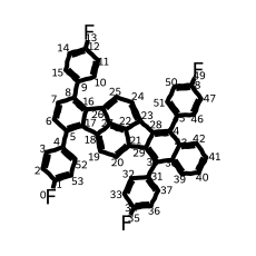 Fc1ccc(-c2ccc(-c3ccc(F)cc3)c3c2-c2ccc4c5c(ccc-3c25)-c2c-4c(-c3ccc(F)cc3)c3ccccc3c2-c2ccc(F)cc2)cc1